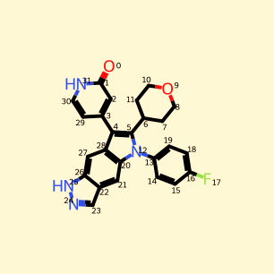 O=c1cc(-c2c(C3CCOCC3)n(-c3ccc(F)cc3)c3cc4cn[nH]c4cc23)cc[nH]1